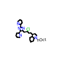 CCCCCCCCN1C=C/C(=C/C=C(Cl)/C=C2\N=C(c3ccccn3)N=C2c2ccccn2)c2ccccc21